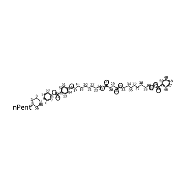 CCCCC[C@H]1CC[C@H](c2ccc(OC(=O)c3ccc(OCCCCCCCCOC(=O)CCC(=O)OCCCCCCCCOOC(=O)c4ccccc4)cc3)cc2)CC1